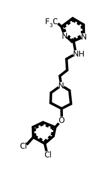 FC(F)(F)c1ccnc(NCCCN2CCC(Oc3ccc(Cl)c(Cl)c3)CC2)n1